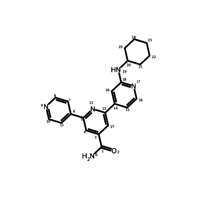 NC(=O)c1cc(-c2ccncc2)nc(-c2ccnc(NC3CCCCC3)c2)c1